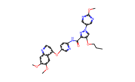 CCCOc1cn(-c2cnc(OC)nc2)nc1C(=O)Nc1ccc(Oc2ccnc3cc(OC)c(OC)cc23)cn1